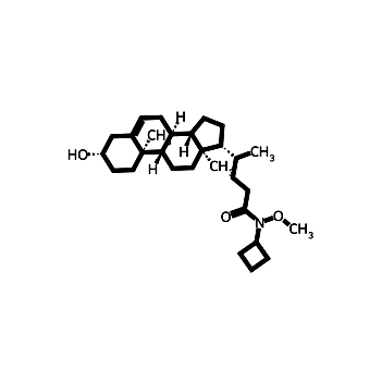 CON(C(=O)CCC(C)[C@H]1CC[C@H]2[C@@H]3CC=C4C[C@@H](O)CC[C@]4(C)[C@H]3CC[C@]12C)C1CCC1